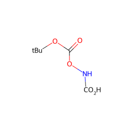 CC(C)(C)OC(=O)ONC(=O)O